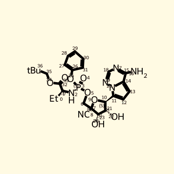 CC[C@H](N[P@](=O)(OC[C@@]1(C#N)O[C@@H](c2ccc3c(N)ncnn23)[C@H](O)[C@@H]1O)Oc1ccccc1)C(=O)OCC(C)(C)C